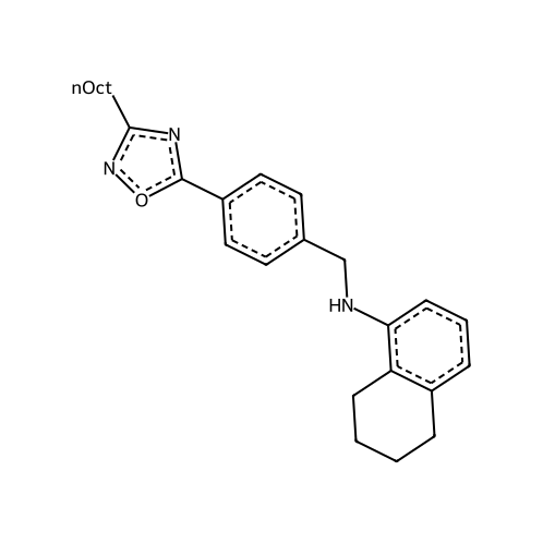 CCCCCCCCc1noc(-c2ccc(CNc3cccc4c3CCCC4)cc2)n1